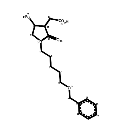 CCCCC1CN(CCCCCOCc2ccccc2)C(=O)C1CC(=O)O